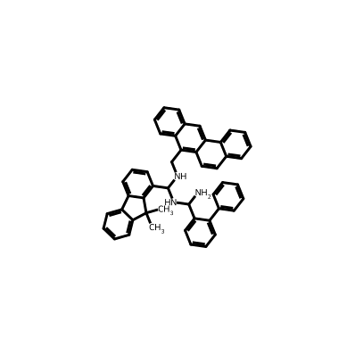 CC1(C)c2ccccc2-c2cccc(C(NCc3c4ccccc4cc4c3ccc3ccccc34)NC(N)c3ccccc3-c3ccccc3)c21